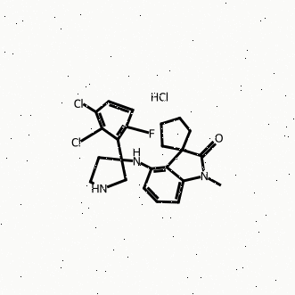 CN1C(=O)C2(CCCC2)c2c(NC3(c4c(F)ccc(Cl)c4Cl)CCNC3)cccc21.Cl